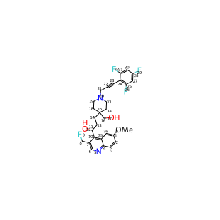 COc1ccc2ncc(CF)c(C(O)CCC3(CO)CCN(CC#Cc4c(F)cc(F)cc4F)CC3)c2c1